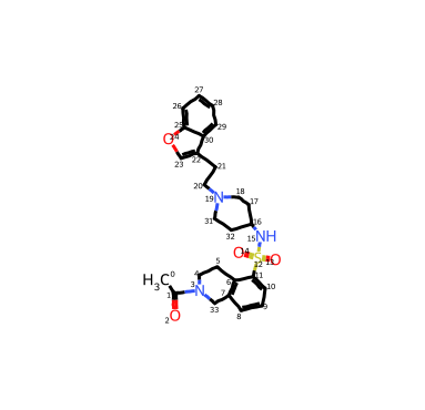 CC(=O)N1CCc2c(cccc2S(=O)(=O)NC2CCN(CCc3coc4ccccc34)CC2)C1